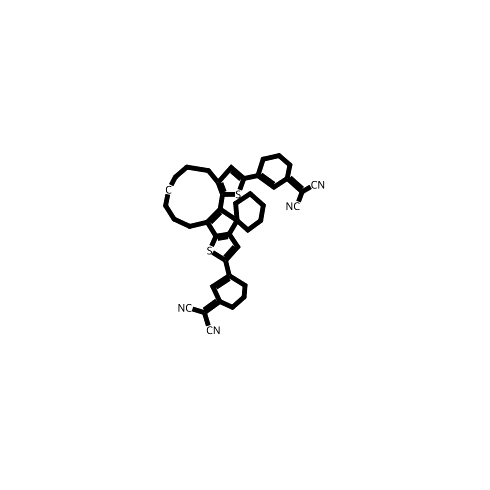 N#CC(C#N)=C1C=C(c2cc3c(s2)C2=C(CCCCCCC3)c3sc(C4=CC(=C(C#N)C#N)CCC4)cc3C23CCCCC3)CCC1